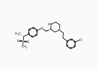 C[C@H](c1ccc(OC[C@@H]2CN(CCc3cccc(Cl)c3)CCN2)cc1)S(C)(=O)=O